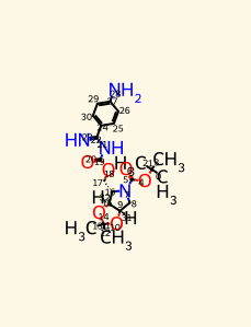 CC(C)(C)OC(=O)N1C[C@@H]2OC(C)(C)O[C@H]2[C@@H]1COC(=O)NC(=N)c1ccc(N)cc1